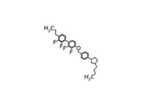 CCCCC1CCC(c2ccc(COc3ccc(-c4ccc(CCC)c(F)c4F)c(F)c3F)cc2)C1